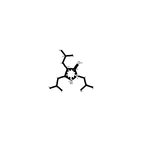 CC(C)Cc1[nH]n(CC(C)C)c(=O)c1CC(C)C